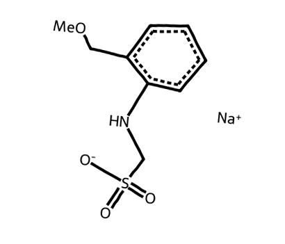 COCc1ccccc1NCS(=O)(=O)[O-].[Na+]